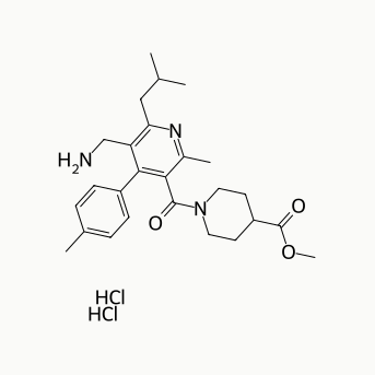 COC(=O)C1CCN(C(=O)c2c(C)nc(CC(C)C)c(CN)c2-c2ccc(C)cc2)CC1.Cl.Cl